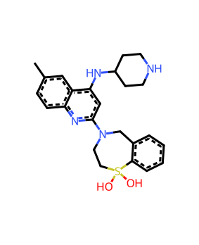 Cc1ccc2nc(N3CCS(O)(O)c4ccccc4C3)cc(NC3CCNCC3)c2c1